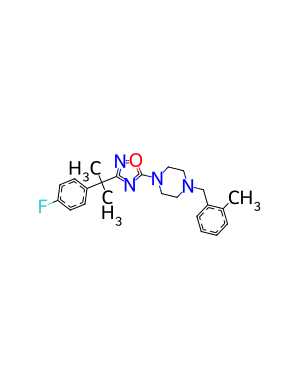 Cc1ccccc1CN1CCN(c2nc(C(C)(C)c3ccc(F)cc3)no2)CC1